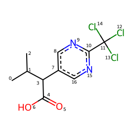 CC(C)C(C(=O)O)c1cnc(C(Cl)(Cl)Cl)nc1